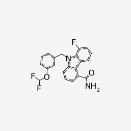 NC(=O)c1cccc2c1c1[c]ccc(F)c1n2Cc1cccc(OC(F)F)c1